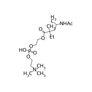 CCC(C)(CC(C)NC(C)=O)C(=O)OCCOP(=O)(O)OCC[N+](C)(C)C